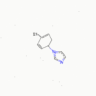 CCC1=CCC(n2ccnc2)C=C1